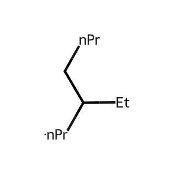 CC[CH]C(CC)CCCC